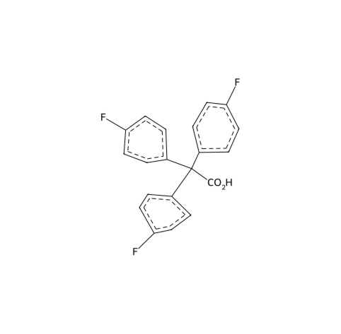 O=C(O)C(c1ccc(F)cc1)(c1ccc(F)cc1)c1ccc(F)cc1